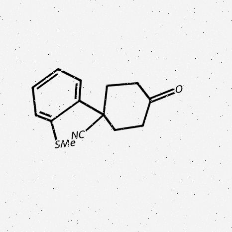 CSc1ccccc1C1(C#N)CCC(=O)CC1